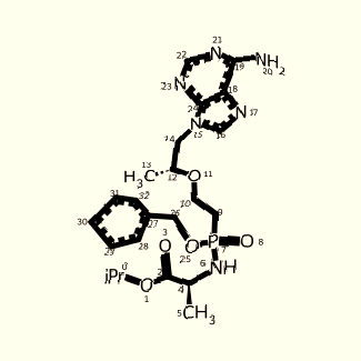 CC(C)OC(=O)[C@H](C)NP(=O)(CCO[C@H](C)Cn1cnc2c(N)ncnc21)OCc1ccccc1